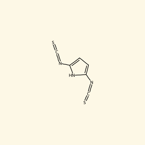 S=C=Nc1ccc(N=C=S)[nH]1